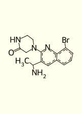 CC(N)c1cc2cccc(Br)c2nc1N1CCNC(=O)C1